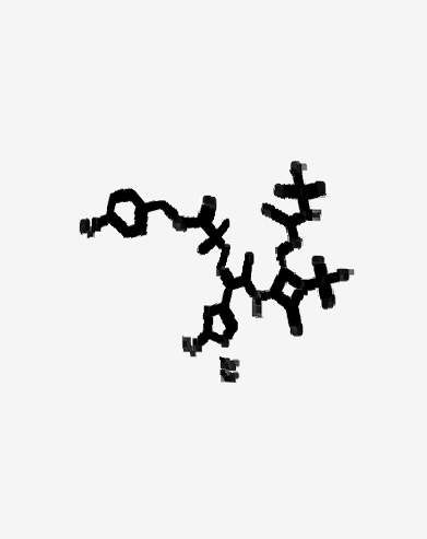 CC(C)(O/N=C(\C(=O)N[C@H]1C(=O)N(S(=O)(=O)[O-])[C@H]1COC(=O)NS(=O)(=O)[O-])c1csc(N)n1)C(=O)OCc1ccc([N+](=O)[O-])cc1.[Na+].[Na+]